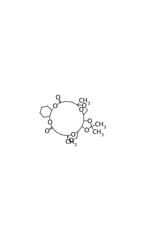 CC1(C)OC2C3COC(C)(CCC(=O)OC4CCCCC4OC(=O)CCC4(C)OCC(O4)C2O1)O3